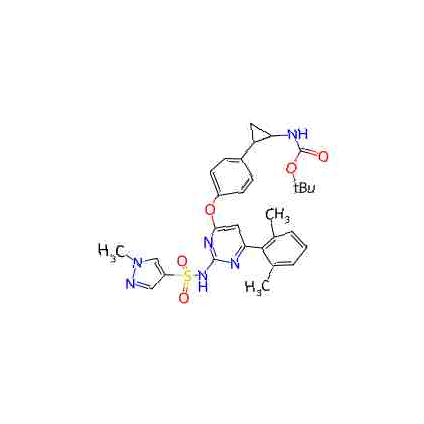 Cc1cccc(C)c1-c1cc(Oc2ccc(C3CC3NC(=O)OC(C)(C)C)cc2)nc(NS(=O)(=O)c2cnn(C)c2)n1